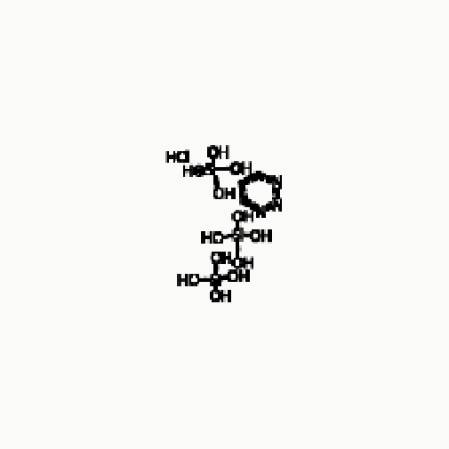 Cl.O[Si](O)(O)O.O[Si](O)(O)O.O[Si](O)(O)O.c1cnnnc1